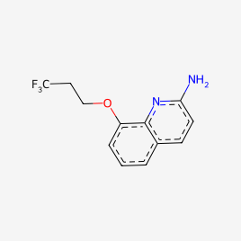 Nc1ccc2cccc(OCCC(F)(F)F)c2n1